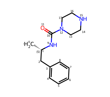 [CH2][C@@H](Cc1ccccc1)NC(=O)N1CCNCC1